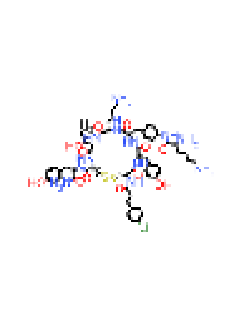 CC(O)C1NC(=O)[C@H](CCCCN)NC(=O)[C@@H](Cc2ccc(NC(=O)[C@@H](N)CCCCN)cc2)NC(=O)[C@H](Cc2ccc(O)cc2)NC(=O)[C@H](NC(=O)CCc2ccc(Cl)cc2)CSSC[C@@H](C(=O)N[C@H](Cc2ccc(O)cc2)C(N)=O)NC1=O